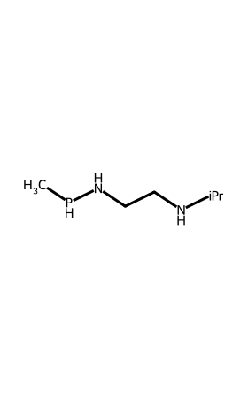 CPNCCNC(C)C